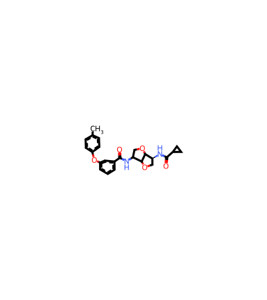 Cc1ccc(Oc2cccc(C(=O)NC3COC4C3OC[C@@H]4NC(=O)C3CC3)c2)cc1